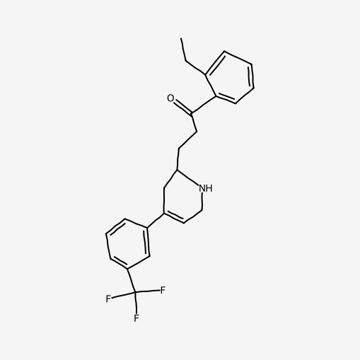 CCc1ccccc1C(=O)CCC1CC(c2cccc(C(F)(F)F)c2)=CCN1